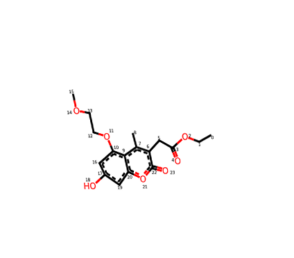 CCOC(=O)Cc1c(C)c2c(OCCOC)cc(O)cc2oc1=O